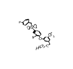 O=C(O)Cc1cc(Oc2ccc(S(=O)(=O)Cc3ccc(F)cc3)cc2F)cc(C(F)(F)F)c1